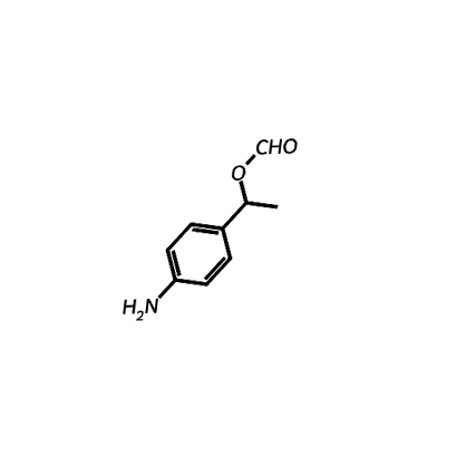 CC(OC=O)c1ccc(N)cc1